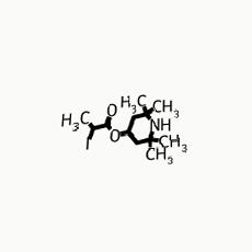 CC(I)C(=O)OC1CC(C)(C)NC(C)(C)C1